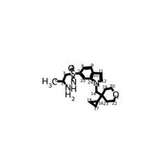 CC(N)CS(=N)(=O)c1ccc2ccn(CC3(C4CC4)CCOCC3)c2c1